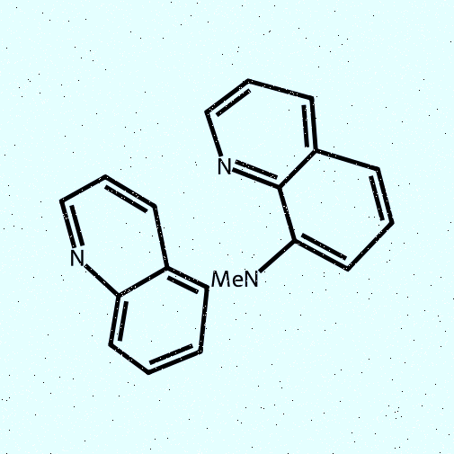 CNc1cccc2cccnc12.c1ccc2ncccc2c1